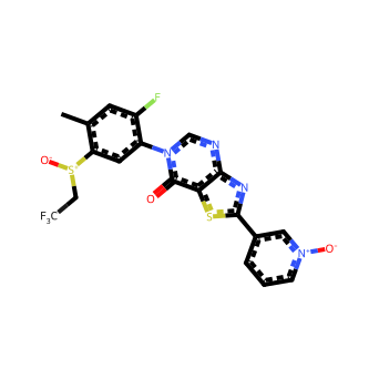 Cc1cc(F)c(-n2cnc3nc(-c4ccc[n+]([O-])c4)sc3c2=O)cc1[S+]([O-])CC(F)(F)F